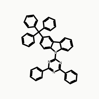 c1ccc(-c2nc(-c3ccccc3)nc(-n3c4ccccc4c4cc(C(c5ccccc5)(c5ccccc5)c5ccccc5)ccc43)n2)cc1